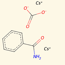 NC(=O)c1ccccc1.O=C([O-])[O-].[Cs+].[Cs+]